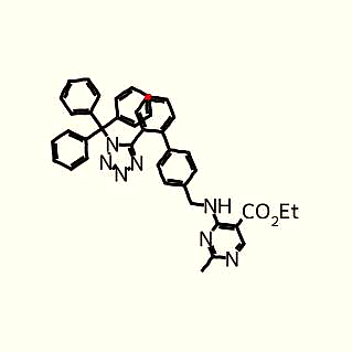 CCOC(=O)c1cnc(C)nc1NCc1ccc(-c2ccccc2-c2nnnn2C(c2ccccc2)(c2ccccc2)c2ccccc2)cc1